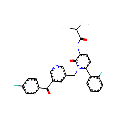 CNC(C)C(=O)Nc1ccc(-c2ccccc2F)n(Cc2cncc(C(=O)c3ccc(F)cc3)c2)c1=O